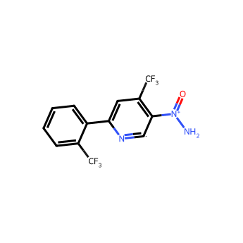 N[N+](=O)c1[c]nc(-c2ccccc2C(F)(F)F)cc1C(F)(F)F